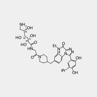 CCNC(=O)c1nnc(-c2cc(C(C)C)c(O)cc2O)n1-c1ccc(CC2CCN(C(=O)CNC(=O)[C@H](O)[C@@H](O)[C@H](O)[C@H](O)CN)CC2)cc1